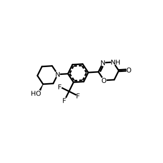 O=C1COC(c2ccc(N3CCC[C@H](O)C3)c(C(F)(F)F)c2)=NN1